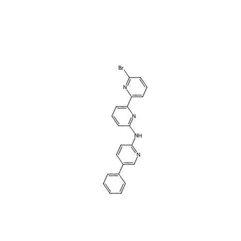 Brc1cccc(-c2cccc(Nc3ccc(-c4ccccc4)cn3)n2)n1